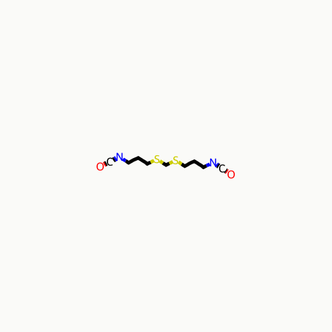 O=C=NCCCSCSCCCN=C=O